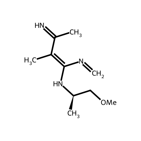 C=N/C(N[C@H](C)COC)=C(/C)C(C)=N